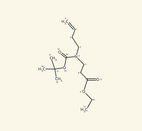 C=CCCN(CCC(=O)OCC)C(=O)OC(C)(C)C